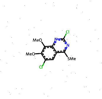 COc1c(Cl)cc2c(SC)nc(Cl)nc2c1OC